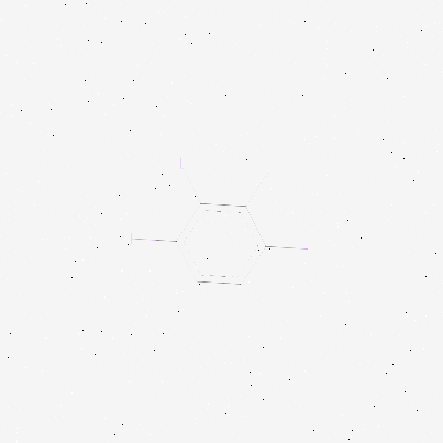 Ic1[c]cc(I)c(I)c1I